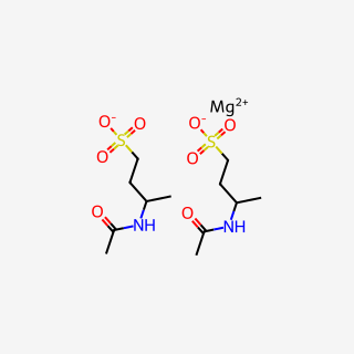 CC(=O)NC(C)CCS(=O)(=O)[O-].CC(=O)NC(C)CCS(=O)(=O)[O-].[Mg+2]